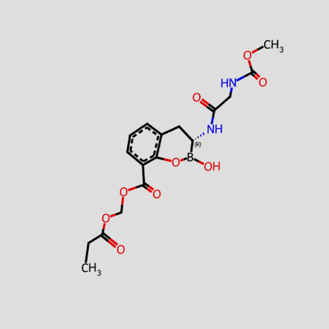 CCC(=O)OCOC(=O)c1cccc2c1OB(O)[C@@H](NC(=O)CNC(=O)OC)C2